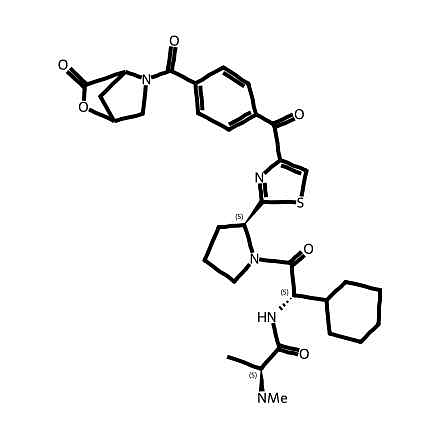 CN[C@@H](C)C(=O)N[C@H](C(=O)N1CCC[C@H]1c1nc(C(=O)c2ccc(C(=O)N3CC4CC3C(=O)O4)cc2)cs1)C1CCCCC1